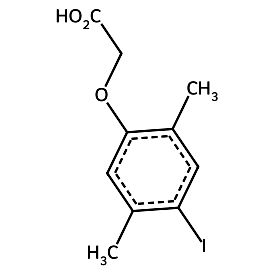 Cc1cc(OCC(=O)O)c(C)cc1I